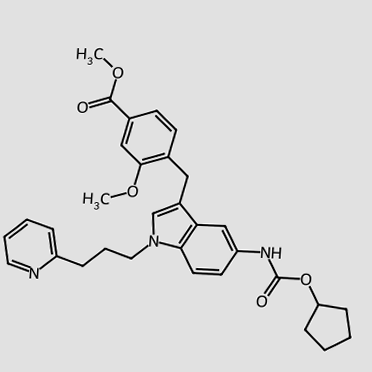 COC(=O)c1ccc(Cc2cn(CCCc3ccccn3)c3ccc(NC(=O)OC4CCCC4)cc23)c(OC)c1